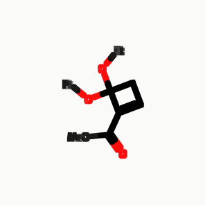 CCOC1(OCC)CC=C1C(=O)OC